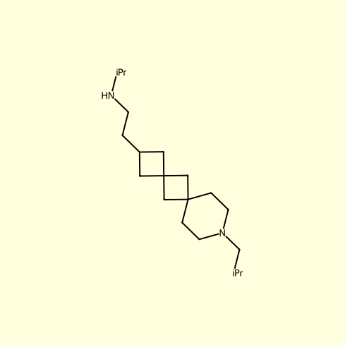 CC(C)CN1CCC2(CC1)CC1(CC(CCNC(C)C)C1)C2